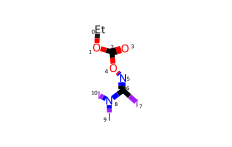 CCOC(=O)O/N=C(/I)N(I)I